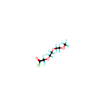 O=C(Cl)C(F)(F)OC(F)(F)C(F)(F)OC(F)(F)C(F)(F)OC(F)(F)F